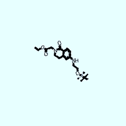 CCOC(=O)CN1CCc2cc(NCCO[Si](C)(C)C(C)(C)C)ccc2C1=O